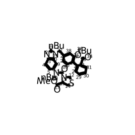 CCCCc1nc2ccc(N(CCCC)C(=O)N3CSCC3C(=O)OC)cc2n1Cc1ccc(-c2ccccc2C(=O)OC(C)(C)C)cc1